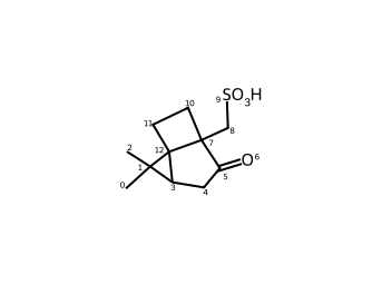 CC1(C)C2CC(=O)C3(CS(=O)(=O)O)CCC231